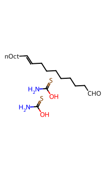 CCCCCCCCC=CCCCCCCCC=O.NC(O)=S.NC(O)=S